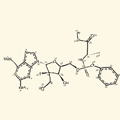 CNc1nc(N)nc2c1ncn2[C@@H]1OC(COP(=O)(N[C@@H](C)C(=O)OC(C)C)Oc2ccccc2)[C@@H](O)[C@]1(F)CO